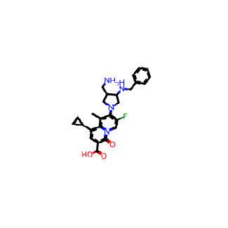 Cc1c(N2CC(CN)C(NCc3ccccc3)C2)c(F)cn2c(=O)c(C(=O)O)cc(C3CC3)c12